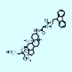 CC(CCC(=O)O)[C@H]1CCC2C3CC[C@@H]4C[C@@H](NC(=O)CNC(=O)OCC5c6ccccc6-c6ccccc65)CC[C@]4(C)C3CC(=O)[C@@]21C